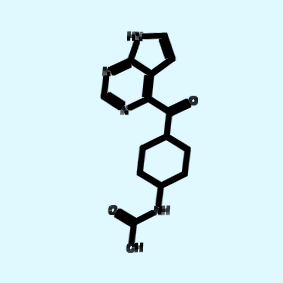 O=C(O)NC1CCC(C(=O)c2ncnc3[nH]ccc23)CC1